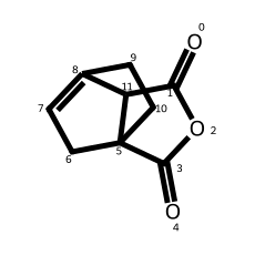 O=C1OC(=O)C23CC=C(CC2)C13